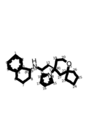 c1ccc2c(c1)CCC[C@H]2NCC[C@@]1(n2cccc2)CCOC2(CCCC2)C1